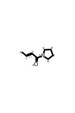 C/C=C/C(=O)N1CCCC1